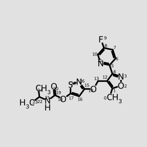 Cc1onc(-c2ccc(F)cn2)c1COc1cc(OC(=O)NC(C)C)sn1